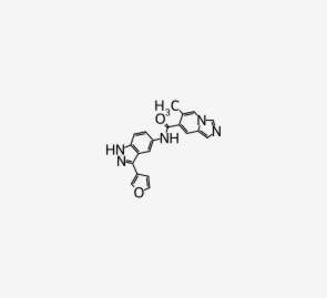 Cc1cn2cncc2cc1C(=O)Nc1ccc2[nH]nc(-c3ccoc3)c2c1